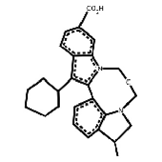 CC1CN2CCCn3c(c(C4CCCCC4)c4ccc(C(=O)O)cc43)-c3cccc1c32